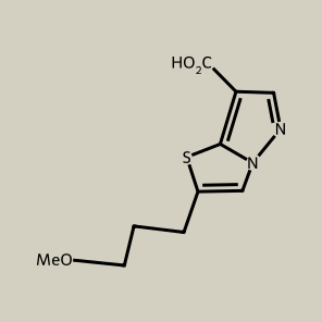 COCCCc1cn2ncc(C(=O)O)c2s1